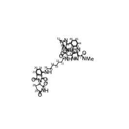 CNC(=O)c1nnc(C(NC(=O)CCCCCCNc2cccc3c2C(=O)N(C2CCC(=O)NC2=O)C3=O)C(N)=O)cc1Nc1cccc(-c2ncn(C)n2)c1OC